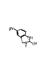 CC(C)c1ccc2c(c1)CN(C)C(O)N2